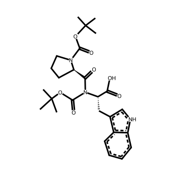 CC(C)(C)OC(=O)N1CCC[C@@H]1C(=O)N(C(=O)OC(C)(C)C)[C@@H](Cc1c[nH]c2ccccc12)C(=O)O